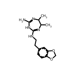 CC1N=C(N)NC(NCCc2ccc3c(c2)OCO3)=NC1C